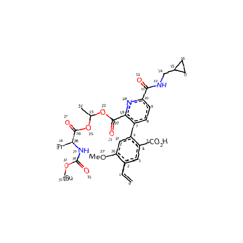 C=Cc1cc(C(=O)O)c(-c2ccc(C(=O)NCC3CC3)nc2C(=O)OC(C)OC(=O)C(NC(=O)OC(C)(C)C)C(C)C)cc1OC